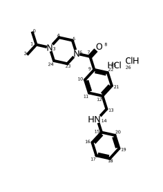 CC(C)N1CCN(C(=O)c2ccc(CNc3ccccc3)cc2)CC1.Cl.Cl